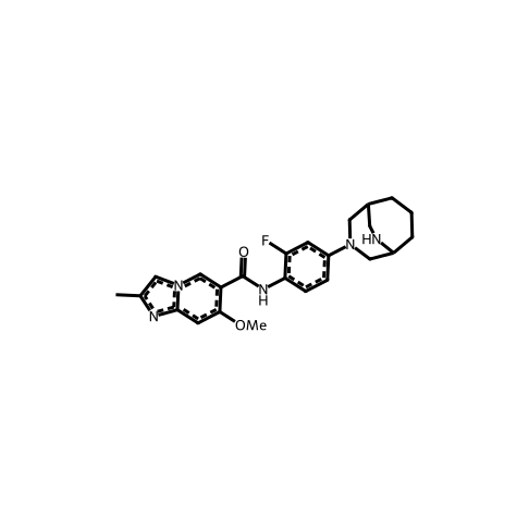 COc1cc2nc(C)cn2cc1C(=O)Nc1ccc(N2CC3CCCC(C2)NC3)cc1F